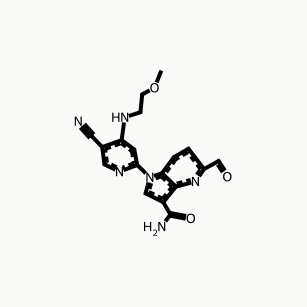 COCCNc1cc(-n2cc(C(N)=O)c3nc(C=O)ccc32)ncc1C#N